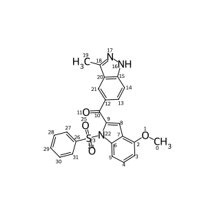 COc1cccc2c1cc(C(=O)c1ccc3[nH]nc(C)c3c1)n2S(=O)(=O)c1ccccc1